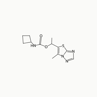 Cc1c(C(C)OC(=O)NC2CCC2)sc2ncnn12